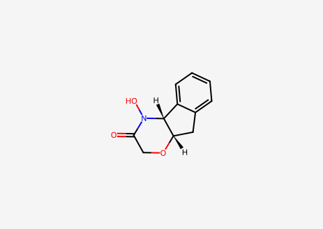 O=C1CO[C@H]2Cc3ccccc3[C@H]2N1O